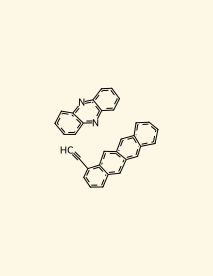 C#Cc1cccc2cc3cc4ccccc4cc3cc12.c1ccc2nc3ccccc3nc2c1